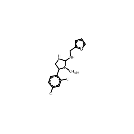 CN1C(NCc2ccco2)NCC1c1ccc(Cl)cc1Cl.I